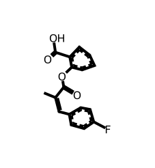 CC(=Cc1ccc(F)cc1)C(=O)Oc1ccccc1C(=O)O